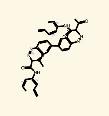 C=C/C=C\C(=C/C)NC(=O)C(/N=N\c1ccc(-c2ccc(/N=N\C(C(C)=O)C(=O)NC(/C=C\C)=C/C=C)c(Cl)c2)cc1Cl)C(C)=O